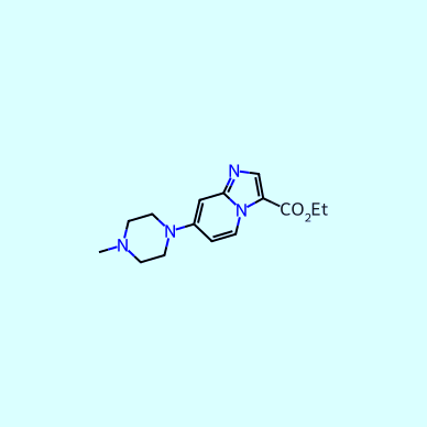 CCOC(=O)c1cnc2cc(N3CCN(C)CC3)ccn12